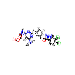 CN(C)c1nc(Cc2ccc(NC(=O)c3ccc(Cl)c(Cl)c3)cc2)nc(N(C)C)c1CC(=O)O